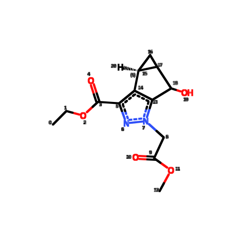 CCOC(=O)c1nn(CC(=O)OC)c2c1[C@H]1CC1C2O